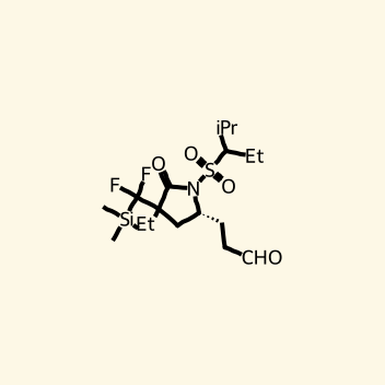 CCC(C(C)C)S(=O)(=O)N1C(=O)C(CC)(C(F)(F)[Si](C)(C)C)C[C@H]1CCC=O